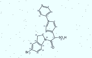 O=C(C(c1ccc(-c2ccccc2)cc1)S(=O)(=O)O)N1CCc2cc(Br)ccc21